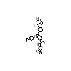 CC(=O)Nc1cccc(-c2cn(-c3ccc(F)cc3)c3cc(C(=O)NC4CCS(=O)(=O)C4)ccc23)c1